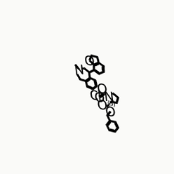 CN1CCc2cc(Cl)c(OC(=O)N3CCC[C@H]3C(=O)OCc3ccccc3)cc2C(c2cccc3c2OCC3)C1